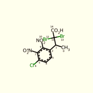 CC(c1ccc(Cl)c([N+](=O)[O-])c1[N+](=O)[O-])C(Br)(Br)C(=O)O